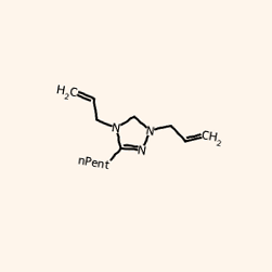 C=CCN1CN(CC=C)C(CCCCC)=N1